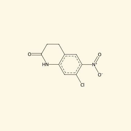 O=C1CCc2cc([N+](=O)[O-])c(Cl)cc2N1